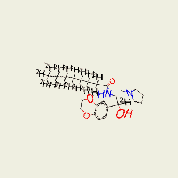 [2H]C([2H])([2H])C([2H])([2H])C([2H])([2H])C([2H])([2H])C([2H])([2H])C([2H])([2H])C([2H])([2H])C(=O)N[C@H](CN1CCCC1)[C@]([2H])(O)c1ccc2c(c1)OCCO2